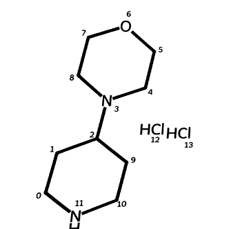 C1CC(N2CCOCC2)CCN1.Cl.Cl